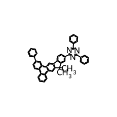 CC1(C)c2cc(-c3nc(-c4ccccc4)nc(-c4ccccc4)n3)ccc2-c2cc3c4cc(-c5ccccc5)ccc4c4ccccc4c3cc21